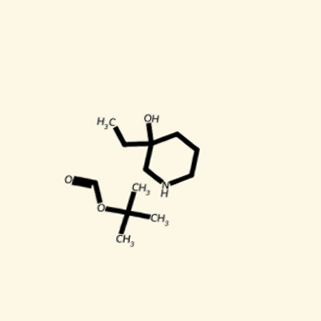 CC(C)(C)OC=O.CCC1(O)CCCNC1